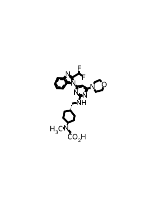 CN(CC(=O)O)[C@H]1CC[C@H](CNc2nc(N3CCOCC3)cc(-n3c(C(F)F)nc4ccccc43)n2)CC1